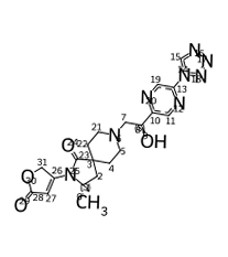 C[C@H]1CC2(CCN(C[C@H](O)c3cnc(-n4cnnn4)cn3)CC2)C(=O)N1C1=CC(=O)OC1